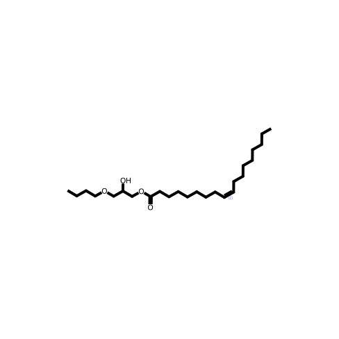 CCCCCCCC/C=C\CCCCCCCC(=O)OCC(O)COCCCC